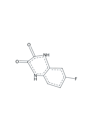 O=c1[nH]c2ccc(F)cc2[nH]c1=O